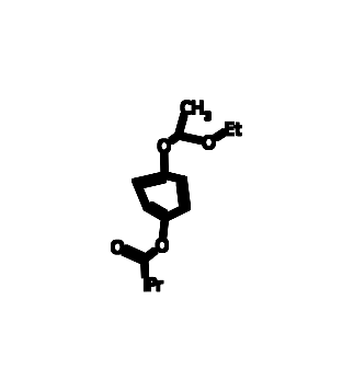 CCOC(C)Oc1ccc(OC(=O)C(C)C)cc1